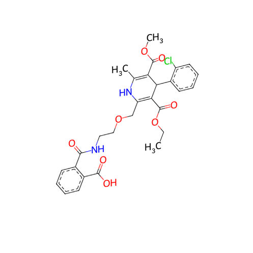 CCOC(=O)C1=C(COCCNC(=O)c2ccccc2C(=O)O)NC(C)=C(C(=O)OC)C1c1ccccc1Cl